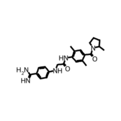 Cc1cc(C(=O)N2CCCC2C)c(C)cc1NC(=O)CNc1ccc(C(=N)N)cc1